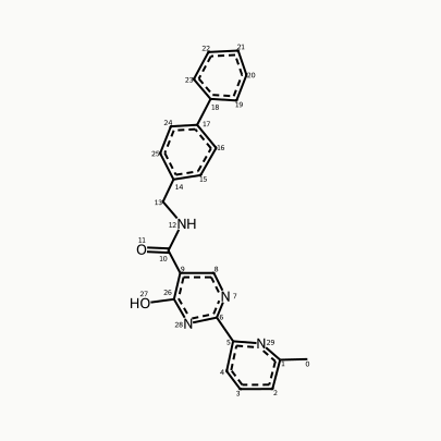 Cc1cccc(-c2ncc(C(=O)NCc3ccc(-c4ccccc4)cc3)c(O)n2)n1